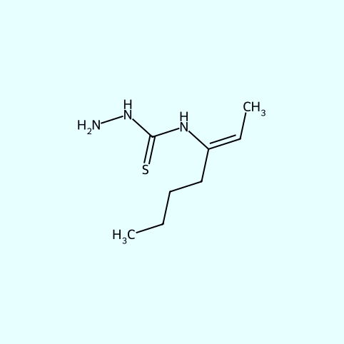 C/C=C(/CCCC)NC(=S)NN